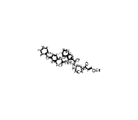 CCO/C=C/C(=O)N1CCC[C@@H](NC(=O)c2sc3nccc4c3c2NC(=O)N4c2ccc(Oc3ccccc3)cc2C)C1